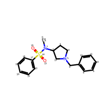 CCN(C1CCN(Cc2ccccc2)C1)S(=O)(=O)c1[c]cccc1